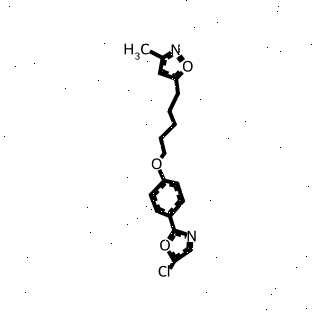 Cc1cc(CCCCCOc2ccc(-c3ncc(Cl)o3)cc2)on1